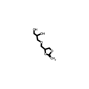 C=C1OCC(COCC(O)CO)O1